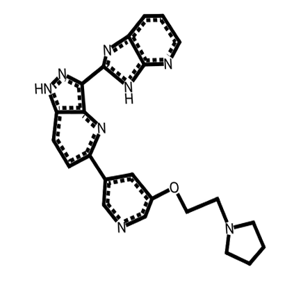 c1cnc2[nH]c(-c3n[nH]c4ccc(-c5cncc(OCCN6CCCC6)c5)nc34)nc2c1